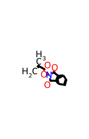 C=C(C)C(=O)ON1C(=O)C2C3C=CC(C3)C2C1=O